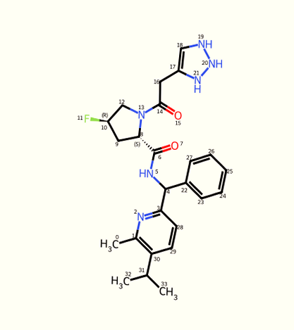 Cc1nc(C(NC(=O)[C@@H]2C[C@@H](F)CN2C(=O)CC2=CNNN2)c2ccccc2)ccc1C(C)C